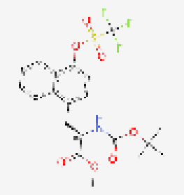 COC(=O)[C@@H](Cc1ccc(OS(=O)(=O)C(F)(F)F)c2ccccc12)NC(=O)OC(C)(C)C